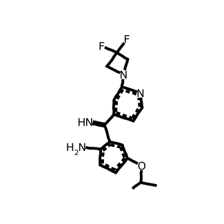 CC(C)Oc1ccc(N)c(C(=N)c2ccnc(N3CC(F)(F)C3)c2)c1